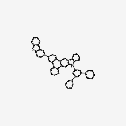 c1ccc(-c2cc(-c3ccccc3)cc(-n3c4ccccc4c4cc5c6ccc(-c7ccc8sc9ccccc9c8c7)cc6c6ccccc6c5cc43)c2)cc1